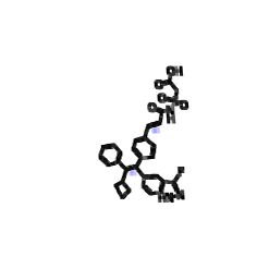 O=C(O)CS(=O)(=O)NC(=O)/C=C/c1ccc(/C(=C(\c2ccccc2)C2CCC2)c2ccc3[nH]nc(F)c3c2)cc1